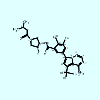 CC(C)CC(=O)N1C[C@H](F)[C@H](NC(=O)c2cc(-c3cc(C(F)(F)F)c4c(N)ncnn34)cc(F)c2Cl)C1